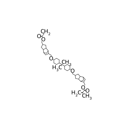 C=CC(=O)OCC1CC2C3CC(COC4CCC(C(C)(C)C5CCC(OCC6CC7C8CC(COC(=O)C(=C)C)C(C8)C7C6)CC5)CC4)C(C3)C2C1